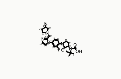 CC(C)(C)N(C(=O)O)C1CCN(c2ccc(-n3ccnc3CN3CCC(F)C3)cc2F)C1=O